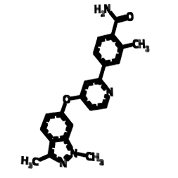 Cc1cc(-c2cc(Oc3ccc4c(C)nn(C)c4c3)ccn2)ccc1C(N)=O